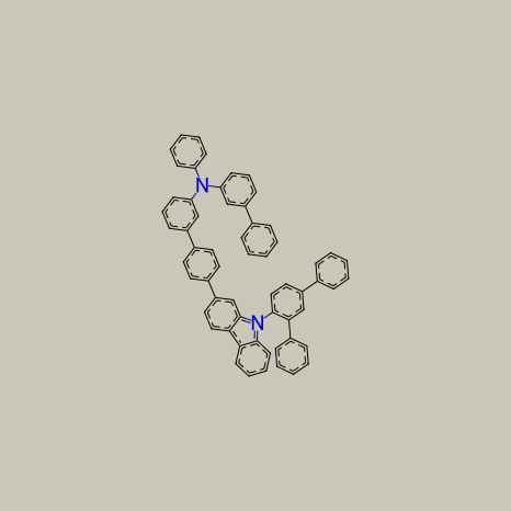 c1ccc(-c2cccc(N(c3ccccc3)c3cccc(-c4ccc(-c5ccc6c7ccccc7n(-c7ccc(-c8ccccc8)cc7-c7ccccc7)c6c5)cc4)c3)c2)cc1